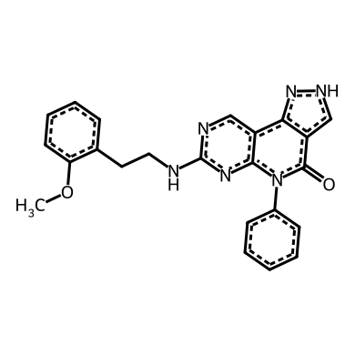 COc1ccccc1CCNc1ncc2c3n[nH]cc3c(=O)n(-c3ccccc3)c2n1